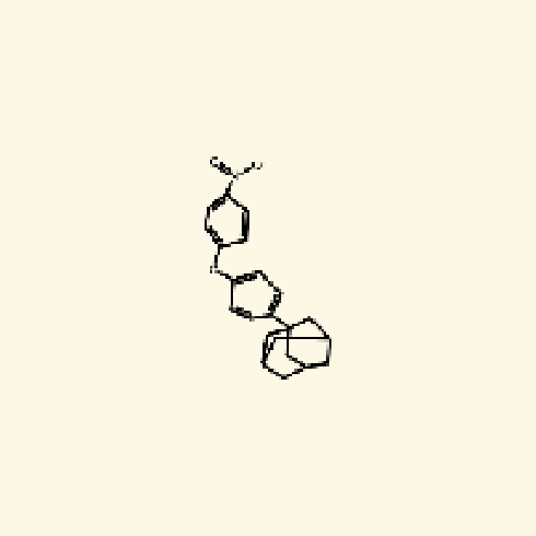 O=[N+]([O-])c1ccc(Oc2ccc(C34CC5CC(CC(C5)C3)C4)cc2)cc1